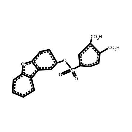 O=C(O)c1ccc(S(=O)(=O)Oc2ccc3oc4ccccc4c3c2)cc1C(=O)O